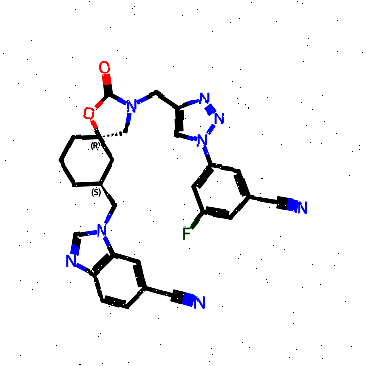 N#Cc1cc(F)cc(-n2cc(CN3C[C@]4(CCC[C@H](Cn5cnc6ccc(C#N)cc65)C4)OC3=O)nn2)c1